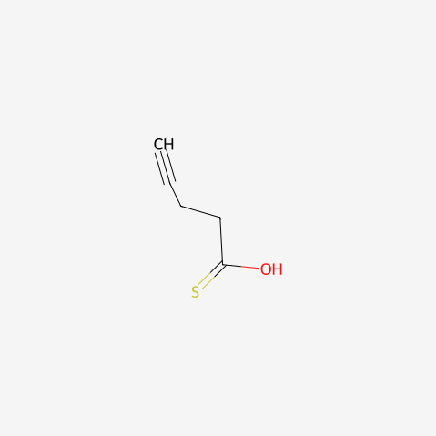 C#CCCC(O)=S